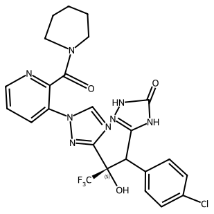 O=C(c1ncccc1-n1cnc([C@@](O)(C(c2ccc(Cl)cc2)c2n[nH]c(=O)[nH]2)C(F)(F)F)n1)N1CCCCC1